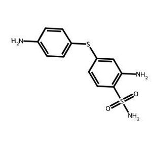 Nc1ccc(Sc2ccc(S(N)(=O)=O)c(N)c2)cc1